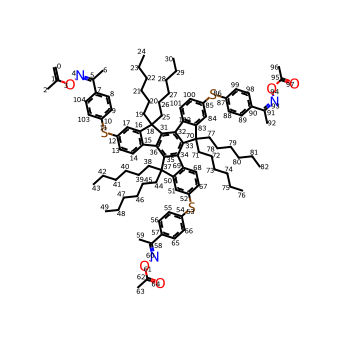 C=C(C)O/N=C(/C)c1ccc(Sc2ccc3c(c2)C(CCCCCC)(CCCCCC)c2c4c(c5c(c2-3)C(CCCCCC)(CCCCCC)c2cc(Sc3ccc(/C(C)=N/OC(C)=O)cc3)ccc2-5)C(CCCCCC)(CCCCCC)c2cc(Sc3ccc(/C(C)=N\OC(C)=O)cc3)ccc2-4)cc1